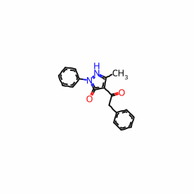 Cc1[nH]n(-c2ccccc2)c(=O)c1C(=O)Cc1ccccc1